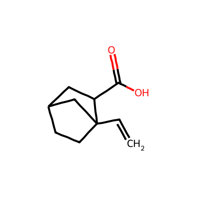 C=CC12CCC(CC1C(=O)O)C2